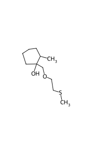 CSCCOCC1(O)CCCCC1C